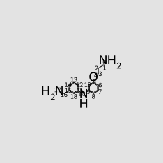 NCCCOc1cccc(Nc2cccc(CN)c2)c1